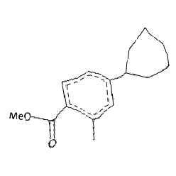 COC(=O)c1ccc(C2CCCCC2)cc1C